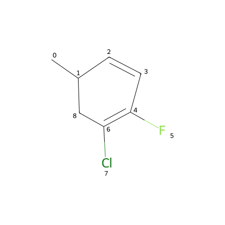 CC1C=CC(F)=C(Cl)C1